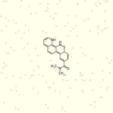 CN(C)C(=O)C1=CC2=c3ccc4c(c3NSC2C=C1)NC=CC=4